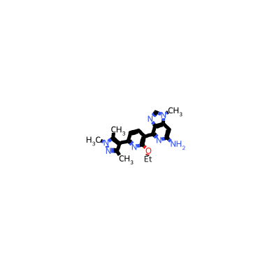 CCOc1nc(-c2c(C)nn(C)c2C)ccc1-c1nc(N)cc2c1ncn2C